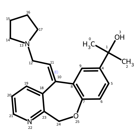 CC(C)(O)c1ccc2c(c1)/C(=C/CN1CCCC1)c1cccnc1CO2